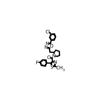 Cc1nc(C(=O)N2CCCCC2Cc2nnc(-c3cccc(Cl)c3)o2)c(-c2ccc(F)cc2)s1